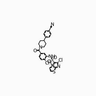 Cc1ccc(C(=O)N2CCC(c3ccc(C#N)cc3)CC2)cc1NS(=O)(=O)c1c(Cl)nc2sccn12